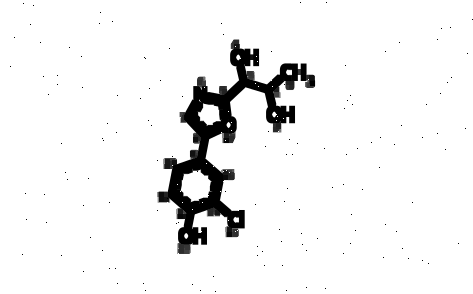 CC(O)C(O)c1ncc(-c2ccc(O)c(Cl)c2)o1